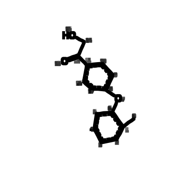 Cc1ccccc1Oc1ccc(C(=O)CO)cc1